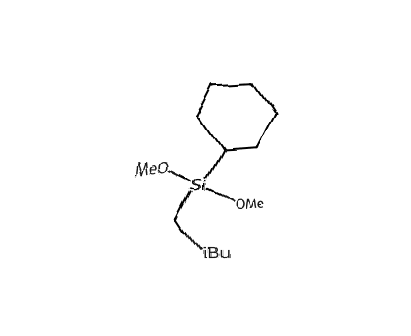 CCC(C)C[Si](OC)(OC)C1CCCCC1